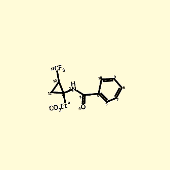 CCOC(=O)C1(NC(=O)c2ccccc2)CC1C(F)(F)F